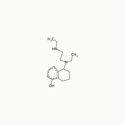 CCNCCN(CC)C1CCCc2c(O)cccc21